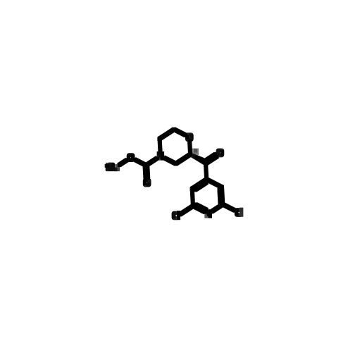 CC(C)(C)OC(=O)N1CCO[C@@H](C(=O)c2cc(Cl)nc(Cl)c2)C1